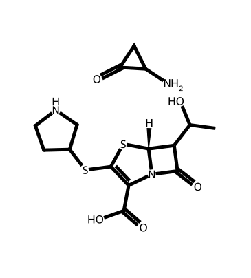 CC(O)C1C(=O)N2C(C(=O)O)=C(SC3CCNC3)S[C@H]12.NC1CC1=O